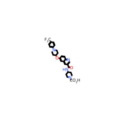 O=C(NC1CCN(C(=O)O)CC1)c1cnc2ccc(OC3CCN(c4ccc(C(F)(F)F)cc4)CC3)cc2c1